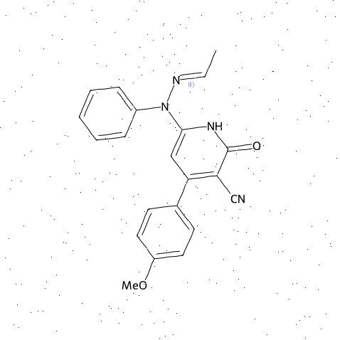 C/C=N/N(c1ccccc1)c1cc(-c2ccc(OC)cc2)c(C#N)c(=O)[nH]1